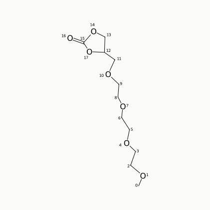 COCCOCCOCCOCC1COC(=O)O1